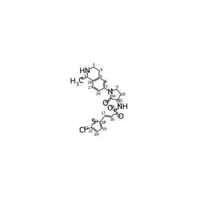 CC1NCCc2cc(N3CC[C@H](NS(=O)(=O)C=Cc4ccc(Cl)s4)C3=O)ccc21